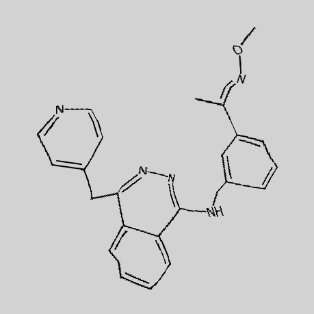 CO/N=C(\C)c1cccc(Nc2nnc(Cc3ccncc3)c3ccccc23)c1